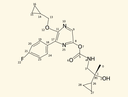 C[C@](O)(CNC(=O)Oc1cnc(OCC2CC2)c(-c2ccc(F)cc2)n1)C1CC1